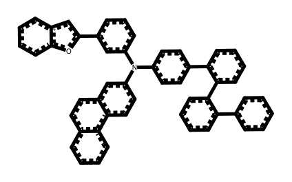 c1ccc(-c2ccccc2-c2ccccc2-c2ccc(N(c3cccc(-c4cc5ccccc5o4)c3)c3ccc4c(ccc5ccccc54)c3)cc2)cc1